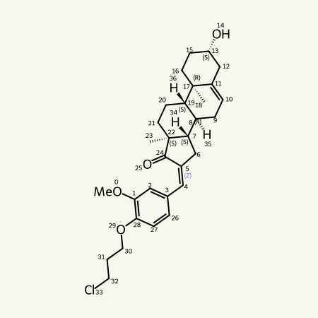 COc1cc(/C=C2/C[C@H]3[C@@H]4CC=C5C[C@@H](O)CC[C@]5(C)[C@H]4CC[C@]3(C)C2=O)ccc1OCCCCl